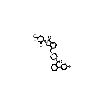 O=C1CCC(N2Cc3c(CN4CCN(C(=O)C5=C(c6ccc(F)cc6)CCCC5)CC4)cccc3C2=O)C(=O)N1